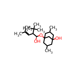 CC(C)=CC([C@H](O)OC12CC(C)CC(O)(CC(C)C1)C2)C(C)(C)C